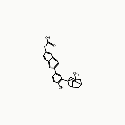 CC12CC3CC(C1)CC(c1cc(-c4ccc5cc(OC(=O)O)ccc5c4)ccc1O)(C3)C2